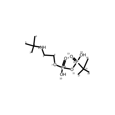 CC(C)(C)NCCOP(=O)(O)OP(=O)(O)C(C)(C)C